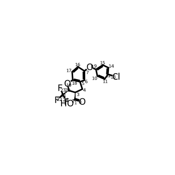 O=C(O)[C@@H]1Cc2cc(Oc3ccc(Cl)cc3)ccc2O[C@@H]1C(F)(F)F